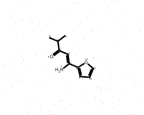 CC(C)C(=O)C=C(N)c1ccco1